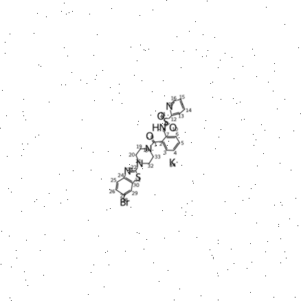 O=C(c1ccccc1NS(=O)(=O)c1ccccn1)N1CCN(c2nc3ccc(Br)cc3s2)CC1.[K]